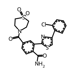 NC(=O)c1ccc(C(=O)N2CCS(=O)(=O)CC2)cc1-c1nc(-c2ccccc2Cl)cs1